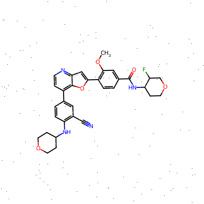 COc1cc(C(=O)NC2CCOCC2F)ccc1-c1cc2nccc(-c3ccc(NC4CCOCC4)c(C#N)c3)c2o1